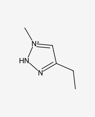 CCc1c[n+](C)[nH]n1